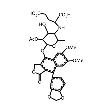 COc1cc2c(OC3OC(C)C(N[C@@H](CCC(=O)O)C(=O)O)C(O)C3OC(C)=O)c3c(c(-c4ccc5c(c4)OCO5)c2cc1OC)C(=O)OC3